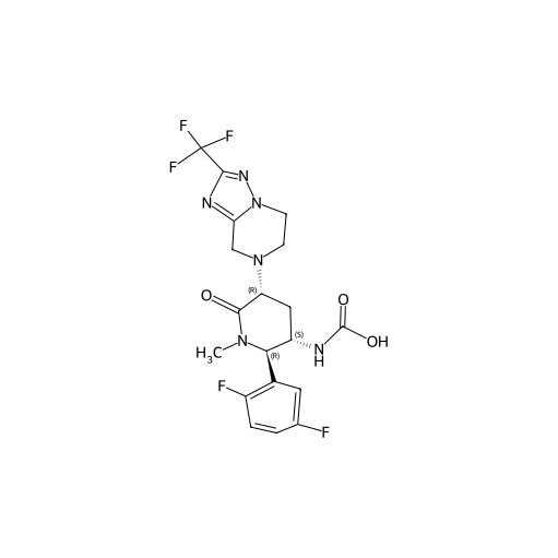 CN1C(=O)[C@H](N2CCn3nc(C(F)(F)F)nc3C2)C[C@H](NC(=O)O)[C@H]1c1cc(F)ccc1F